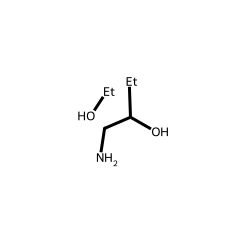 CCC(O)CN.CCO